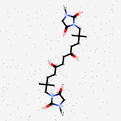 CCN1CC(=O)N(CC(C)(C)CCC(=O)CCC(=O)CCC(C)(C)CN2C(=O)CN(CC)C2=O)C1=O